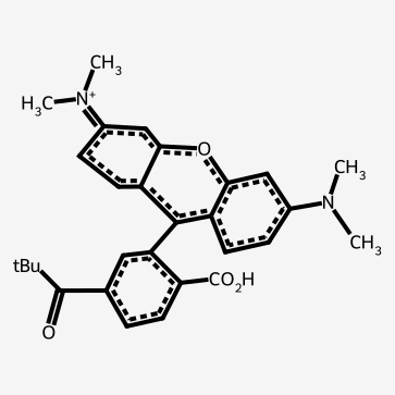 CN(C)c1ccc2c(-c3cc(C(=O)C(C)(C)C)ccc3C(=O)O)c3ccc(=[N+](C)C)cc-3oc2c1